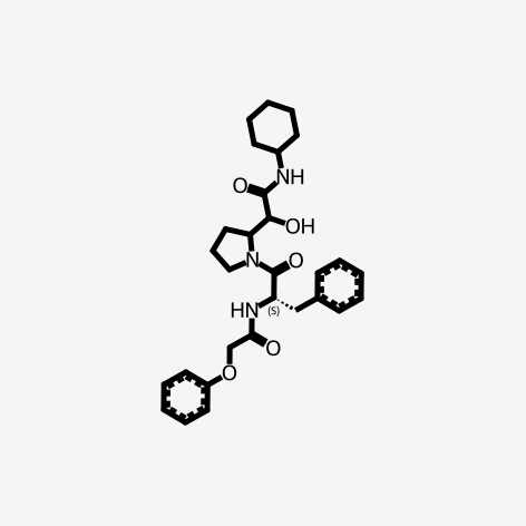 O=C(COc1ccccc1)N[C@@H](Cc1ccccc1)C(=O)N1CCCC1C(O)C(=O)NC1CCCCC1